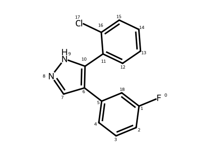 Fc1cccc(-c2cn[nH]c2-c2ccccc2Cl)c1